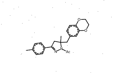 CC(=O)N1N=C(c2ccc(C)cc2)CC1(C)Cc1ccc2c(c1)OCCO2